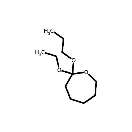 CCCOC1(OCC)CCCCCO1